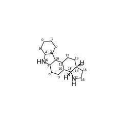 C1CCC2C(C1)NC1CCC3C(CC[C@@H]4CCN[C@H]34)C12